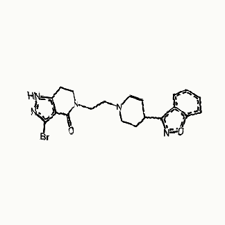 O=C1c2c(Br)n[nH]c2CCN1CCN1CCC(c2noc3ccccc23)CC1